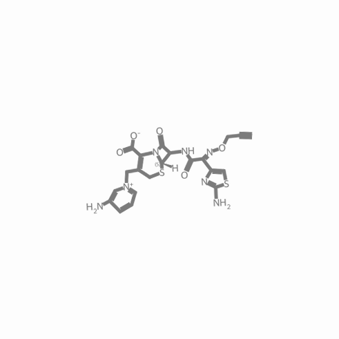 C#CCON=C(C(=O)NC1C(=O)N2C(C(=O)[O-])=C(C[n+]3cccc(N)c3)CS[C@@H]12)c1csc(N)n1